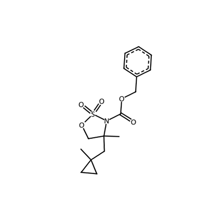 CC1(CC2(C)COS(=O)(=O)N2C(=O)OCc2ccccc2)CC1